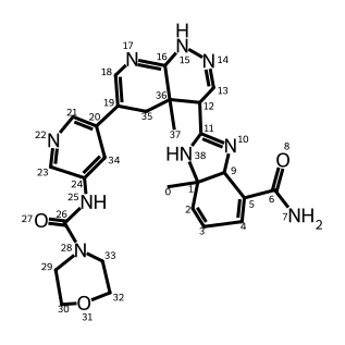 CC12C=CC=C(C(N)=O)C1N=C(C1C=NNC3=NC=C(c4cncc(NC(=O)N5CCOCC5)c4)CC31C)N2